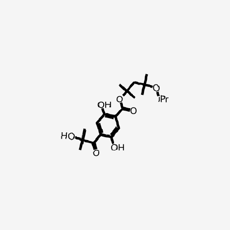 CC(C)OC(C)(C)CC(C)(C)OC(=O)c1cc(O)c(C(=O)C(C)(C)O)cc1O